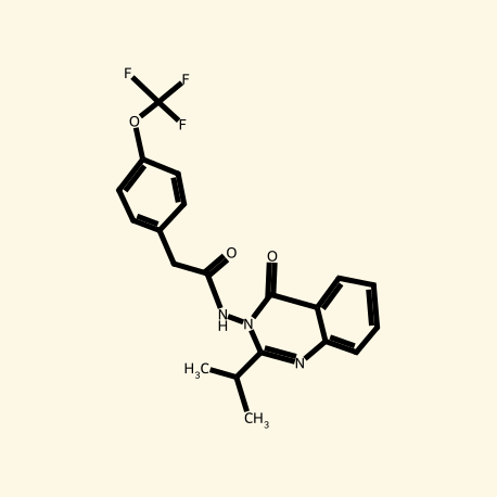 CC(C)c1nc2ccccc2c(=O)n1NC(=O)Cc1ccc(OC(F)(F)F)cc1